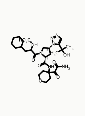 CC(C)(O)c1cnnn1[C@H]1C[C@@H](C(=O)NC2(C(=O)C(N)=O)CCOCC2)N(C(=O)C(CC2CCCCC2)NC(=O)O)C1